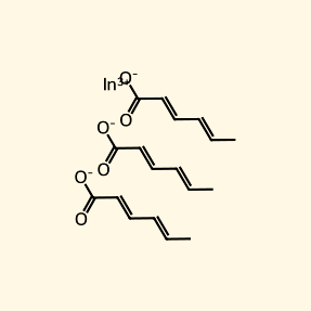 C/C=C/C=C/C(=O)[O-].C/C=C/C=C/C(=O)[O-].C/C=C/C=C/C(=O)[O-].[In+3]